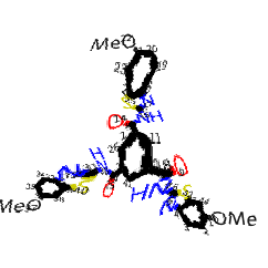 COc1ccc2nc(NC(=O)c3cc(C(=O)Nc4nc5ccc(OC)cc5s4)cc(C(=O)Nc4nc5ccc(OC)cc5s4)c3)sc2c1